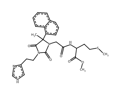 COC(=O)C(CCSC)NC(=O)CN1C(=O)N(CCc2c[nH]cn2)C(=O)C1(C)c1cccc2ccccc12